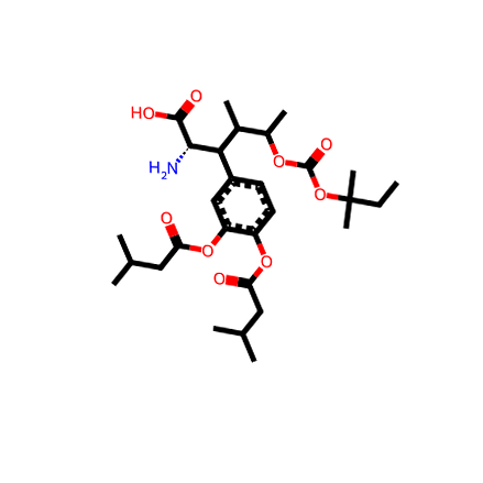 CCC(C)(C)OC(=O)OC(C)C(C)C(c1ccc(OC(=O)CC(C)C)c(OC(=O)CC(C)C)c1)[C@H](N)C(=O)O